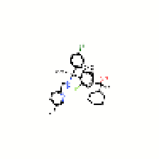 CCC(O)(c1cc(F)c([C@](NCc2ccc(C#N)cn2)(OC)c2ccc(Cl)cc2)c(C=O)c1)C1CCCCC1